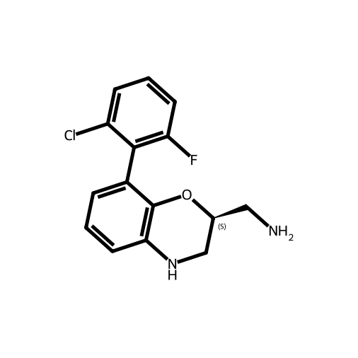 NC[C@H]1CNc2cccc(-c3c(F)cccc3Cl)c2O1